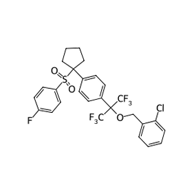 O=S(=O)(c1ccc(F)cc1)C1(c2ccc(C(OCc3ccccc3Cl)(C(F)(F)F)C(F)(F)F)cc2)CCCC1